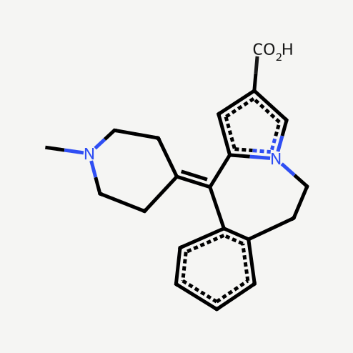 CN1CCC(=C2c3ccccc3CCn3cc(C(=O)O)cc32)CC1